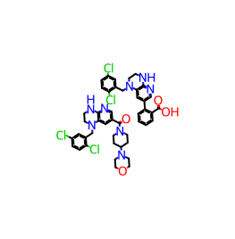 O=C(O)c1ccccc1-c1cnc2c(c1)N(Cc1cc(Cl)ccc1Cl)CCN2.O=C(c1cnc2c(c1)N(Cc1cc(Cl)ccc1Cl)CCN2)N1CCC(N2CCOCC2)CC1